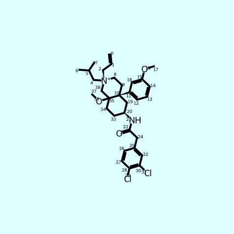 C=CC[N@@+]1(CC(C)C)CC[C@]2(c3cccc(OC)c3)C[C@@H](NC(=O)Cc3ccc(Cl)c(Cl)c3)CCC2(OC)C1